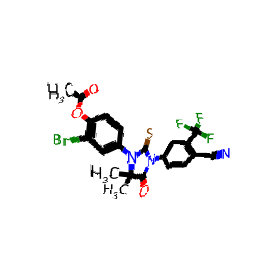 CC(=O)Oc1ccc(N2C(=S)N(c3ccc(C#N)c(C(F)(F)F)c3)C(=O)C2(C)C)cc1Br